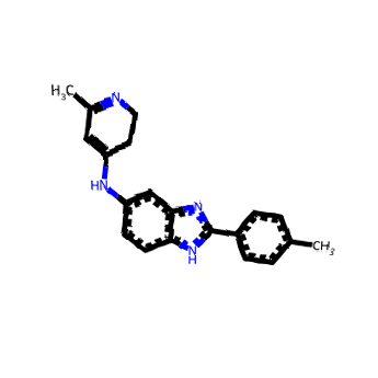 CC1=NCCC(Nc2ccc3[nH]c(-c4ccc(C)cc4)nc3c2)=C1